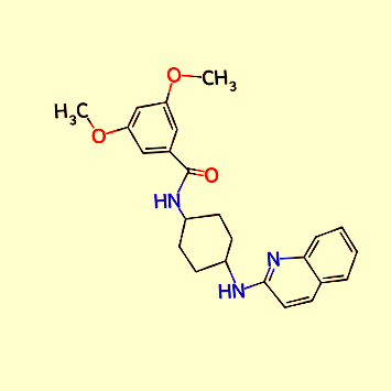 COc1cc(OC)cc(C(=O)NC2CCC(Nc3ccc4ccccc4n3)CC2)c1